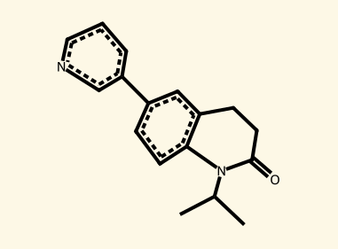 CC(C)N1C(=O)CCc2cc(-c3cccnc3)ccc21